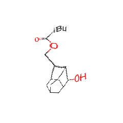 CCC(C)C(=O)OCC1C2CC3CC(C2)C(O)C1C3